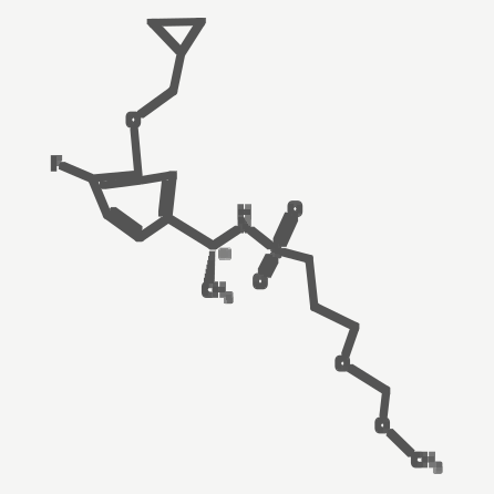 COCOCCCS(=O)(=O)N[C@H](C)c1ccc(F)c(OCC2CC2)c1